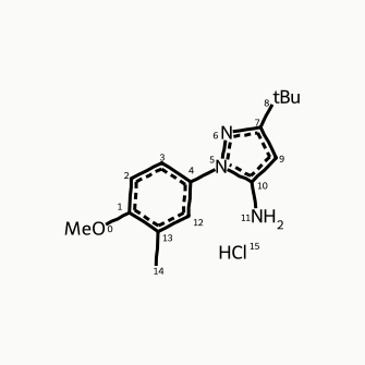 COc1ccc(-n2nc(C(C)(C)C)cc2N)cc1C.Cl